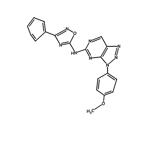 COc1ccc(-n2nnc3cnc(Nc4nc(-c5ccccc5)no4)nc32)cc1